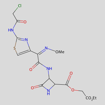 CCOC(=O)COC(=O)C1NC(=O)C1NC(=O)/C(=N\OC)c1csc(NC(=O)CCl)n1